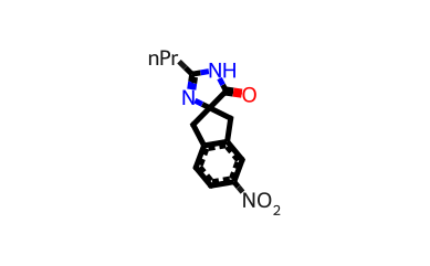 CCCC1=NC2(Cc3ccc([N+](=O)[O-])cc3C2)C(=O)N1